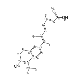 CC(C=CC(F)=C(C)c1ccc2c(c1)CCC(Cl)N2C(C)C)=CC(=O)O